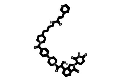 NC(C(=O)N1CCN(c2ccc(C(=O)N3CCC(CCCCNC(=O)/C=C/c4cccnc4)CC3)cc2)CC1)c1cccc2c1CN(C1CCC(=O)NC1=O)C2=O